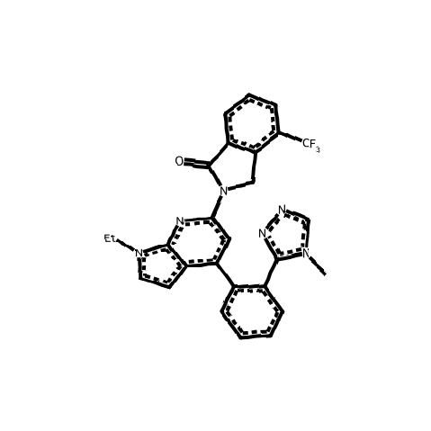 CCn1ccc2c(-c3ccccc3-c3nncn3C)cc(N3Cc4c(cccc4C(F)(F)F)C3=O)nc21